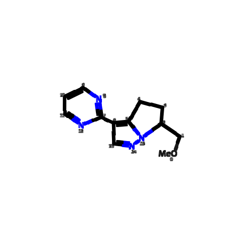 COCC1CCc2c(-c3ncccn3)cnn21